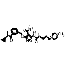 CN1CCN(CCCNC(=O)Nc2snc(OCc3cccc(C(=O)NC4CC4)c3)c2C(N)=O)CC1